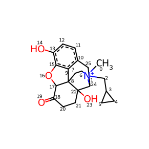 C[N+]1(CC2CC2)CCC23c4c5ccc(O)c4OC2C(=O)CCC3(O)C1C5